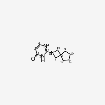 O=c1[c]cnc(N2CC3(CCCC3)C2)[nH]1